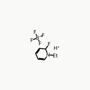 CCN1C=CC=CC1F.F[B-](F)(F)F.[H+]